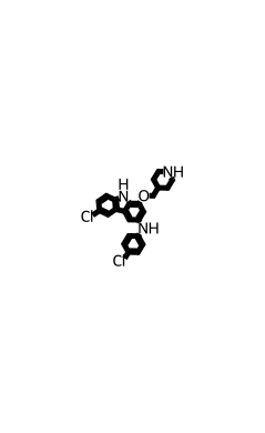 Clc1ccc(Nc2cc(OCC3CCNCC3)c3[nH]c4ccc(Cl)cc4c3c2)cc1